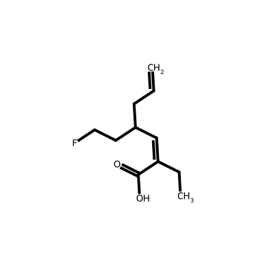 C=CCC(C=C(CC)C(=O)O)CCF